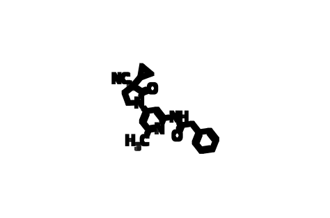 Cc1cc(N2CC[C@@](C#N)(C3CC3)C2=O)cc(NC(=O)Cc2ccccc2)n1